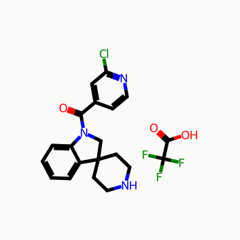 O=C(O)C(F)(F)F.O=C(c1ccnc(Cl)c1)N1CC2(CCNCC2)c2ccccc21